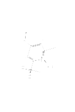 CCc1cc(C)[n+]([O-])c(C(F)(F)F)c1